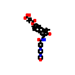 CC(C)C1=C2[C@H]3CC[C@@H]4[C@@]5(C)CC[C@H](OC(=O)[C@H]6C[C@@H](C(=O)O)C6(C)C)C(C)(C)[C@@H]5CC[C@@]4(C)[C@]3(C)CC[C@@]2(CCNC(=O)c2ccc(N3CCC(N4CCOCC4)CC3)cc2)CC1=O